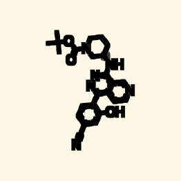 CC(C)(C)OC(=O)N1CCC[C@@H](Nc2nnc(-c3ccc(C#N)cc3O)c3ccncc23)C1